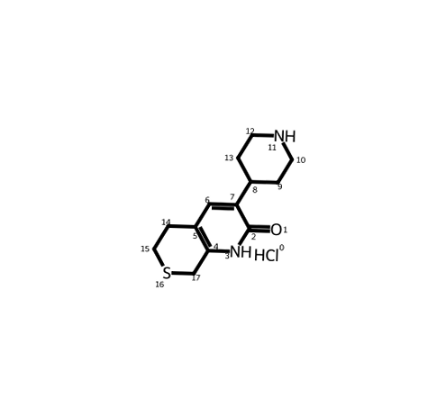 Cl.O=c1[nH]c2c(cc1C1CCNCC1)CCSC2